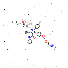 CC(C)c1c(C(=O)Nc2ccccc2)c(-c2ccc(OCCOCCN)cc2)c(-c2ccc(F)cc2)n1CC[C@@H](O)C[C@@H](O)CC(=O)O